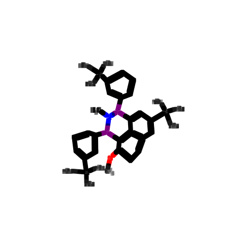 CCCC[Si](CCCC)(CCCC)c1cccc(P(c2cccc([Si](CCCC)(CCCC)CCCC)c2)N(C)P(c2cccc([Si](CCCC)(CCCC)CCCC)c2)c2ccccc2OC(F)(F)F)c1